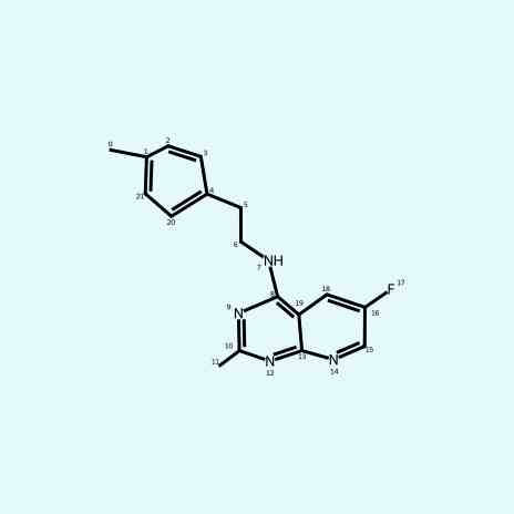 Cc1ccc(CCNc2nc(C)nc3ncc(F)cc23)cc1